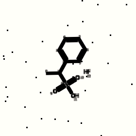 CC(c1ccccc1)S(=O)(=O)O.F